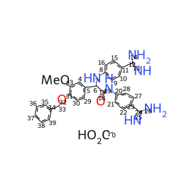 CC(=O)O.COc1cc(C(Nc2ccc(C(=N)N)cc2)C(=O)Nc2ccc(C(=N)N)cc2)ccc1OCc1ccccc1